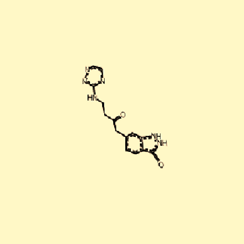 O=C(CCNc1nccnn1)Cc1ccc2c(=O)[nH][nH]c2c1